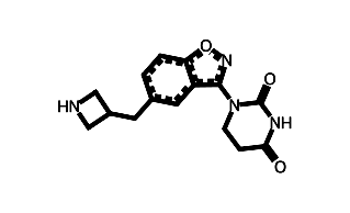 O=C1CCN(c2noc3ccc(CC4CNC4)cc23)C(=O)N1